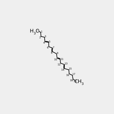 CCCCC=CCC=CCC=CCC=CCCCCC